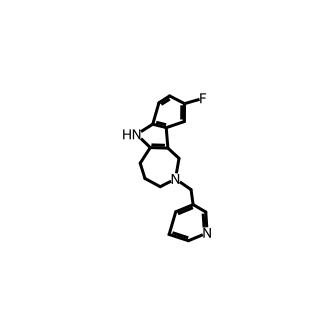 Fc1ccc2[nH]c3c(c2c1)CN(Cc1cccnc1)CCC3